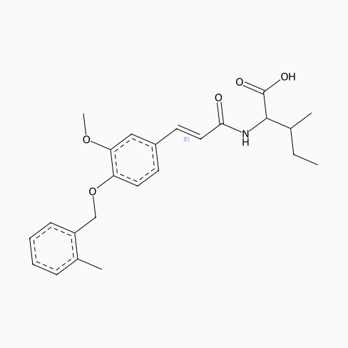 CCC(C)C(NC(=O)/C=C/c1ccc(OCc2ccccc2C)c(OC)c1)C(=O)O